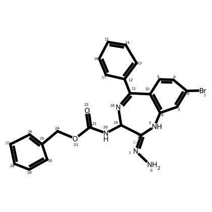 N/N=C1\Nc2cc(Br)ccc2C(c2ccccc2)=NC1NC(=O)OCc1ccccc1